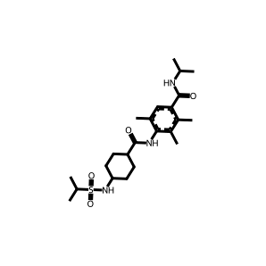 Cc1cc(C(=O)NC(C)C)c(C)c(C)c1NC(=O)C1CCC(NS(=O)(=O)C(C)C)CC1